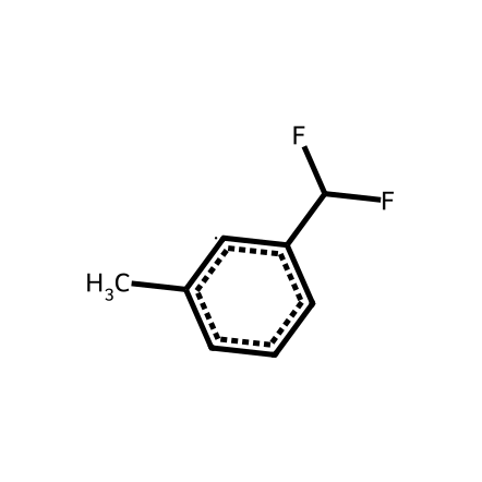 Cc1[c]c(C(F)F)ccc1